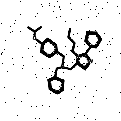 CCCCn1c(CN(Cc2ccccc2)Cc2ccc(OC(C)C)cc2)cnc1-c1ccccc1